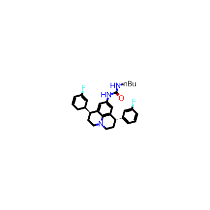 CCCCNC(=O)Nc1cc2c3c(c1)[C@H](C1C=C(F)C=CC1)CCN3CC[C@H]2c1cccc(F)c1